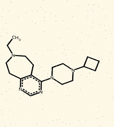 CCN1CCc2ncnc(N3CCN(C4CCC4)CC3)c2CC1